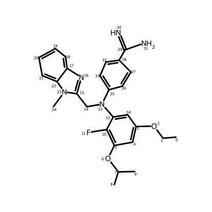 CCOc1cc(OC(C)C)c(F)c(N(Cc2nc3ccccc3n2C)c2ccc(C(=N)N)cc2)c1